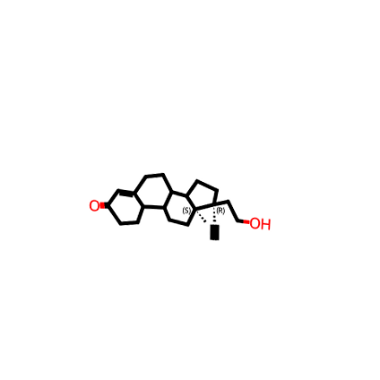 C#C[C@@]1(CCO)CCC2C3CCC4=CC(=O)CCC4C3CC[C@@]21C